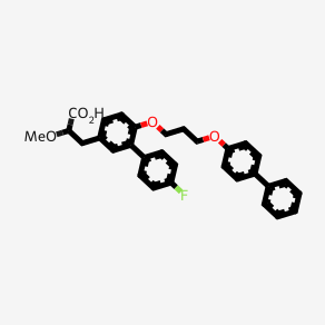 COC(Cc1ccc(OCCCOc2ccc(-c3ccccc3)cc2)c(-c2ccc(F)cc2)c1)C(=O)O